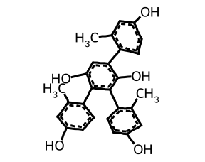 Cc1cc(O)ccc1-c1cc(O)c(-c2ccc(O)cc2C)c(-c2ccc(O)cc2C)c1O